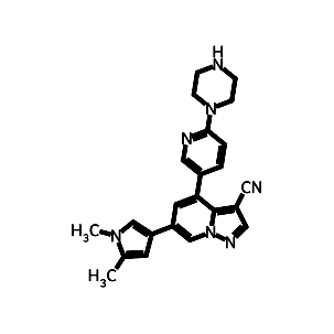 Cc1cc(-c2cc(-c3ccc(N4CCNCC4)nc3)c3c(C#N)cnn3c2)cn1C